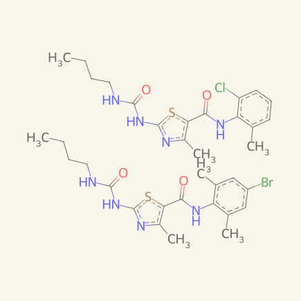 CCCCNC(=O)Nc1nc(C)c(C(=O)Nc2c(C)cc(Br)cc2C)s1.CCCCNC(=O)Nc1nc(C)c(C(=O)Nc2c(C)cccc2Cl)s1